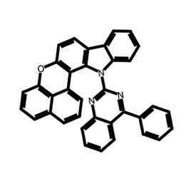 c1ccc(-c2nc(-n3c4ccccc4c4ccc5c(c43)-c3cccc4cccc(c34)O5)nc3ccccc23)cc1